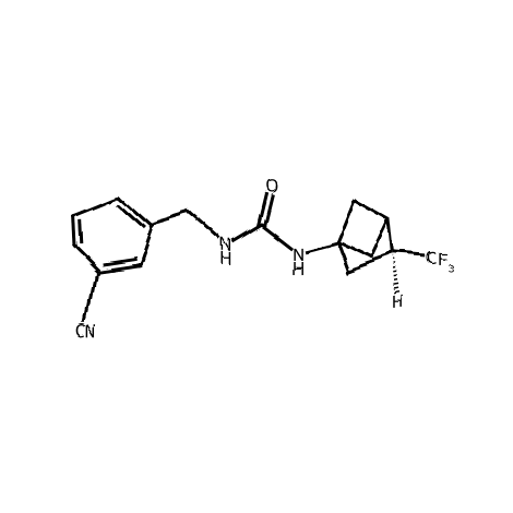 N#Cc1cccc(CNC(=O)NC23CC(C2)[C@@H](C(F)(F)F)C3)c1